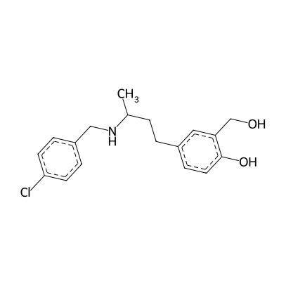 CC(CCc1ccc(O)c(CO)c1)NCc1ccc(Cl)cc1